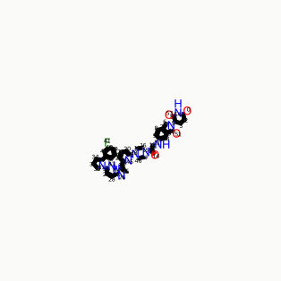 O=C1CCC(N2Cc3ccc(NCC(=O)N4CCN(c5cccc(-c6cnc7ccc(N8CCCC8c8cccc(F)c8)nn67)n5)CC4)cc3C2=O)C(=O)N1